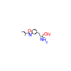 C/C=C(\C)c1nc2cc(CC[C@@](C)(N)CO)ccc2o1